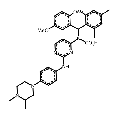 COc1ccc(OC)c(C(c2c(C)cc(C)cc2C)N(C(=O)O)c2ccnc(Nc3ccc(N4CCN(C)C(C)C4)cc3)n2)c1